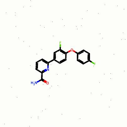 NC(=O)c1cccc(-c2ccc(Oc3ccc(F)cc3)c(F)c2)n1